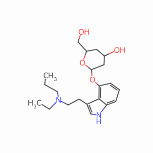 CCCN(CC)CCc1c[nH]c2cccc(OC3CC(O)CC(CO)O3)c12